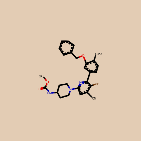 COc1ccc(-c2nc(N3CCC(NC(=O)OC(C)(C)C)CC3)cc(C#N)c2Br)cc1OCc1ccccc1